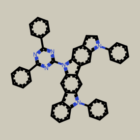 c1ccc(-c2nc(-c3ccccc3)nc(-n3c4cc5ccn(-c6ccccc6)c5cc4c4cc5c(cc43)c3ccccc3n5-c3ccccc3)n2)cc1